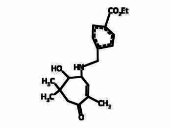 CCOC(=O)c1ccc(CNC2C=C(C)C(=O)CC(C)(C)C2O)cc1